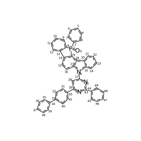 O=P1(c2ccccc2)c2ccccc2-c2ccc3c(c21)c1ccccc1n3-c1cc(-c2ccc(-c3ccccc3)cc2)nc(-c2ccccc2)n1